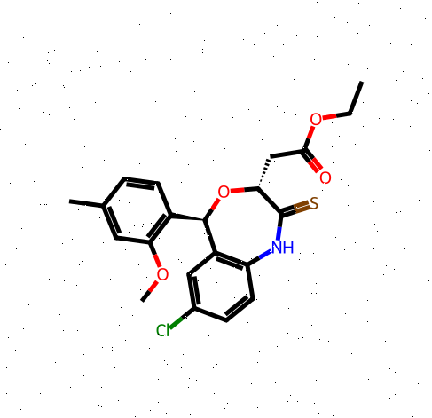 CCOC(=O)C[C@H]1O[C@H](c2ccc(C)cc2OC)c2cc(Cl)ccc2NC1=S